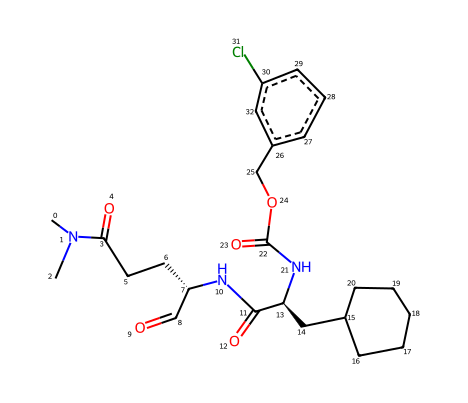 CN(C)C(=O)CC[C@@H](C=O)NC(=O)[C@H](CC1CCCCC1)NC(=O)OCc1cccc(Cl)c1